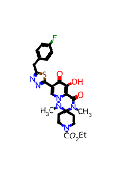 CCOC(=O)N1CCC2(CC1)N(C)C(=O)c1c(O)c(=O)c(-c3nnc(Cc4ccc(F)cc4)s3)cn1N2C